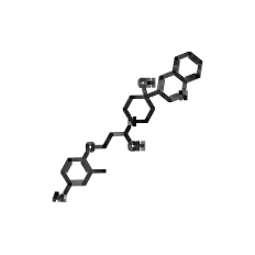 CC(=O)c1ccc(OCCC(O)N2CCC(O)(c3cnc4ccccc4c3)CC2)c(C)c1